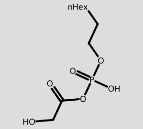 CCCCCCCCOP(=O)(O)OC(=O)CO